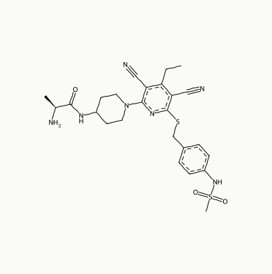 CCc1c(C#N)c(SCc2ccc(NS(C)(=O)=O)cc2)nc(N2CCC(NC(=O)[C@H](C)N)CC2)c1C#N